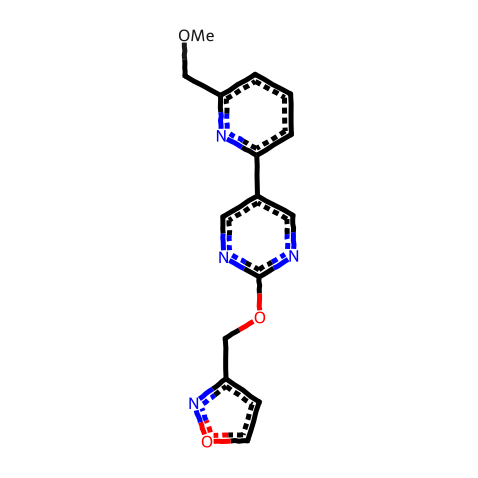 COCc1cccc(-c2cnc(OCc3ccon3)nc2)n1